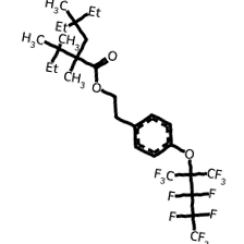 CCC(C)(CC)CC(C)(C(=O)OCCc1ccc(OC(C(F)(F)F)(C(F)(F)F)C(F)(F)C(F)(F)C(F)(F)F)cc1)C(C)(C)CC